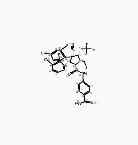 CCN1[C@@H](CC(C)(C)C)[C@](C#N)(c2ccc(Cl)cc2F)[C@@H](c2cccc(Cl)c2F)[C@@H]1C(=O)Nc1ccc(C(=O)O)cc1